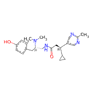 Cc1ncc([C@H](CC(=O)NC[C@H](Cc2ccc(O)cc2)N(C)C)C2CC2)cn1